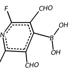 O=Cc1c(F)nc(F)c(C=O)c1B(O)O